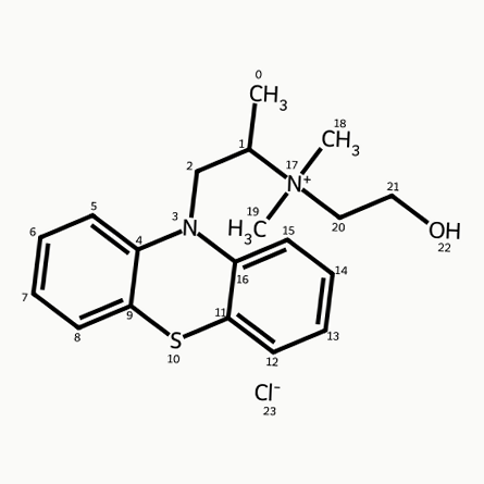 CC(CN1c2ccccc2Sc2ccccc21)[N+](C)(C)CCO.[Cl-]